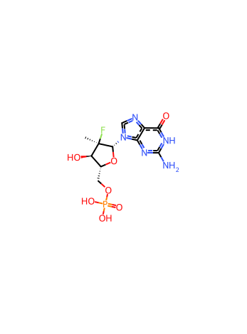 C[C@@]1(F)[C@H](O)[C@@H](COP(=O)(O)O)O[C@H]1n1cnc2c(=O)[nH]c(N)nc21